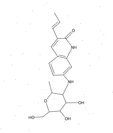 C/C=C/c1cc2ccc(NC3C(C)OC(CO)C(O)C3O)cc2[nH]c1=O